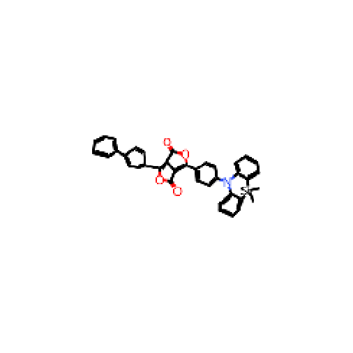 C[Si]1(C)c2ccccc2N(c2ccc(C3=C4C(=O)OC(c5ccc(-c6ccccc6)cc5)=C4C(=O)O3)cc2)c2ccccc21